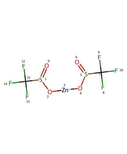 O=S([O][Zn-][O]S(=O)C(F)(F)F)C(F)(F)F